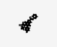 Cc1ccc(-c2c(C)c3c(c(C)c2[C@H](OC(C)(C)C)C(=O)O)CN(C(=O)CN2CCCCC2)C3)cc1